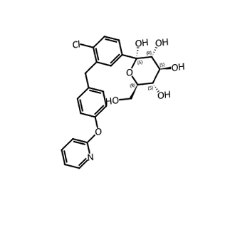 OC[C@H]1O[C@@](O)(c2ccc(Cl)c(Cc3ccc(Oc4ccccn4)cc3)c2)[C@H](O)[C@@H](O)[C@@H]1O